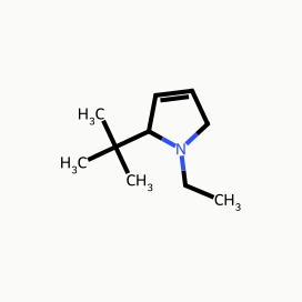 CCN1CC=CC1C(C)(C)C